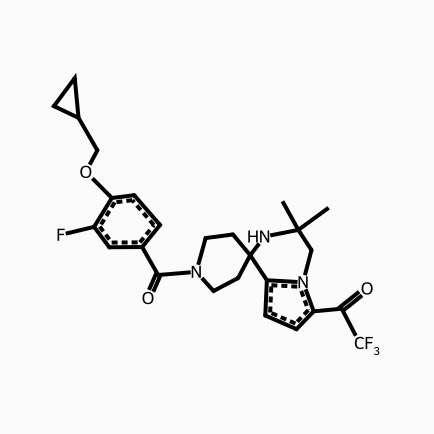 CC1(C)Cn2c(C(=O)C(F)(F)F)ccc2C2(CCN(C(=O)c3ccc(OCC4CC4)c(F)c3)CC2)N1